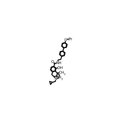 CC(C)Oc1ccc(-c2ccc(CCNC(=O)c3ccc4c(c3O)C3(C)CCN(CC5CC5)C(C4)C3C)cc2)cc1